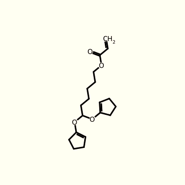 C=CC(=O)OCCCCCC(OC1=CCCC1)OC1=CCCC1